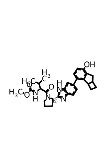 COC(=O)N[C@H](C(=O)N1CCC[C@H]1c1nc2ccc(-c3ccc(O)c4c3C3CCC3C4)cc2[nH]1)C(C)C